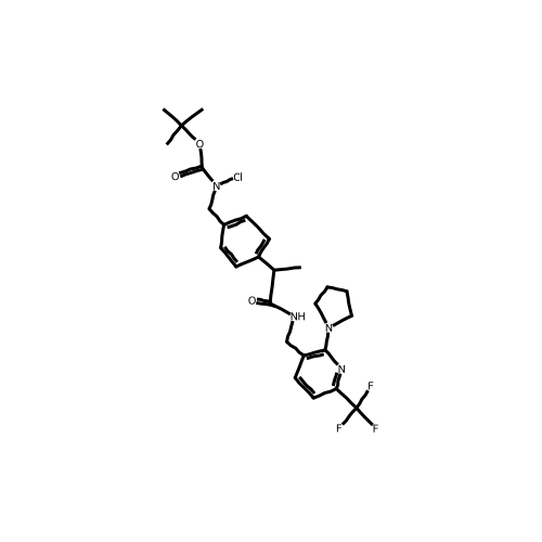 CC(C(=O)NCc1ccc(C(F)(F)F)nc1N1CCCC1)c1ccc(CN(Cl)C(=O)OC(C)(C)C)cc1